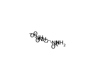 CCOC(=O)CNC(=O)NCc1ccc(CCNC(=O)[C@H](C)N)cc1